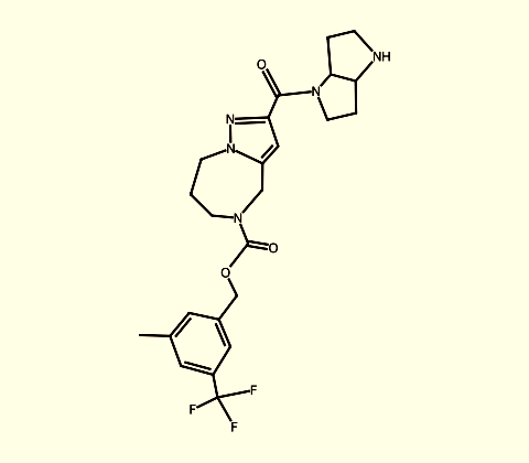 Cc1cc(COC(=O)N2CCCn3nc(C(=O)N4CCC5NCCC54)cc3C2)cc(C(F)(F)F)c1